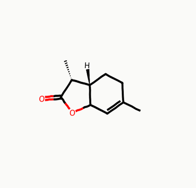 CC1=CC2OC(=O)[C@H](C)[C@@H]2CC1